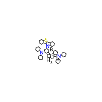 CC1(C)c2cc(N(c3ccccc3)c3ccccc3)ccc2B2c3c(cc(N(c4ccccc4)c4ccccc4)cc31)-n1c3c2cccc3c2sc3ccccc3c21